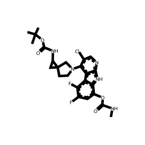 CNC(=O)Oc1cc(F)c(F)c2c1[nH]c1ncc(Cl)c(N3CCC4(CC4NC(=O)OC(C)(C)C)C3)c12